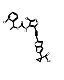 CC(OC(=O)Nc1c(Cl)nsc1C#Cc1cc2cc(C3(C(=O)O)CC3)sc2s1)c1ccccc1Cl